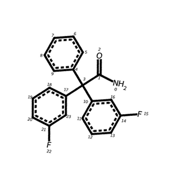 NC(=O)C(c1ccccc1)(c1cccc(F)c1)c1cccc(F)c1